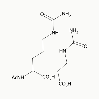 CC(=O)NC(CCCNC(N)=O)C(=O)O.NC(=O)NCCC(=O)O